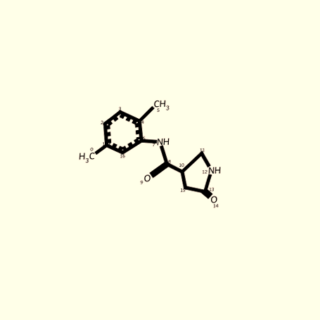 Cc1ccc(C)c(NC(=O)C2CNC(=O)C2)c1